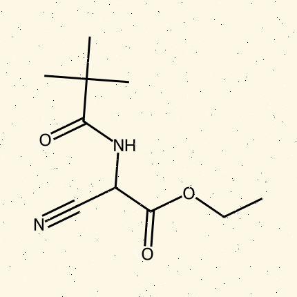 CCOC(=O)C(C#N)NC(=O)C(C)(C)C